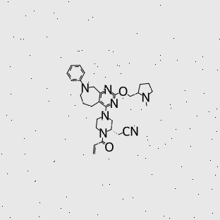 C=CC(=O)N1CCN(c2nc(OCC3CCCN3C)nc3c2CCCN(c2ccccc2)C3)C[C@@H]1CC#N